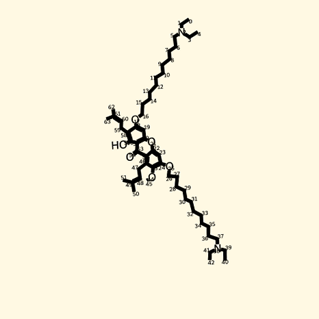 CCN(CC)CCCCCCCCCCCCOc1cc2oc3cc(OCCCCCCCCCCCCN(CC)CC)c(OC)c(CC=C(C)C)c3c(=O)c2c(O)c1CC=C(C)C